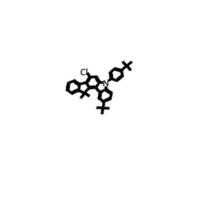 CC(C)(C)c1ccc(-n2c3ccc(C(C)(C)C)cc3c3c4c(c(Cl)cc32)-c2ccccc2C4(C)C)cc1